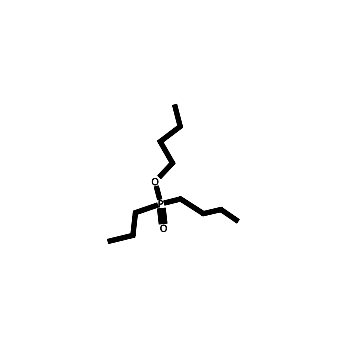 CCCCOP(=O)(CCC)CCCC